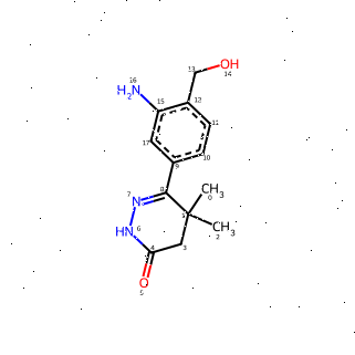 CC1(C)CC(=O)NN=C1c1ccc(CO)c(N)c1